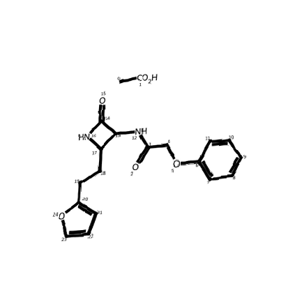 CC(=O)O.O=C(COc1ccccc1)NC1C(=O)NC1CCc1ccco1